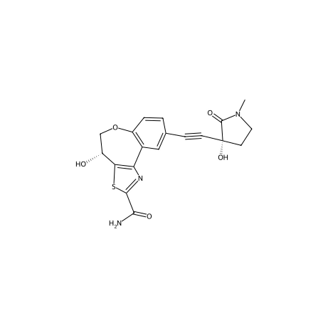 CN1CC[C@@](O)(C#Cc2ccc3c(c2)-c2nc(C(N)=O)sc2[C@H](O)CO3)C1=O